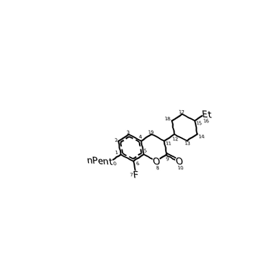 CCCCCc1ccc2c(c1F)OC(=O)C(C1CCC(CC)CC1)C2